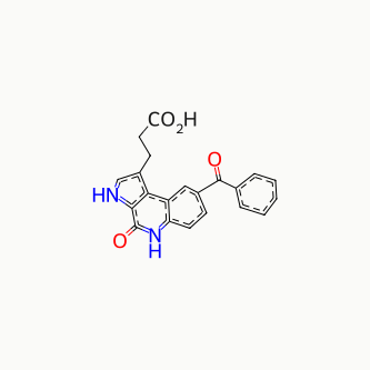 O=C(O)CCc1c[nH]c2c(=O)[nH]c3ccc(C(=O)c4ccccc4)cc3c12